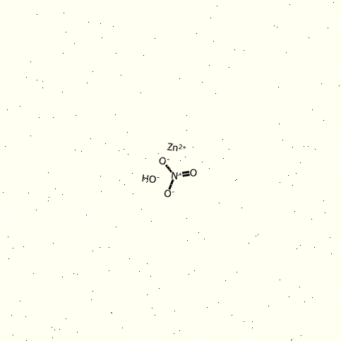 O=[N+]([O-])[O-].[OH-].[Zn+2]